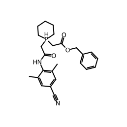 Cc1cc(C#N)cc(C)c1NC(=O)C[PH]1(CC(=O)OCc2ccccc2)CCCCC1